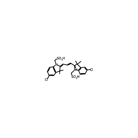 CC1(C)C(=CC=CC2=[N+](CS(=O)(=O)O)c3ccc(Cl)cc3C2(C)C)N(CS(=O)(=O)O)c2ccc(Cl)cc21